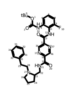 CC(C)(C)OC(=O)Nc1cccc(F)c1NC(=O)c1cnc(C(=O)NCC2CCCN2CCc2ccccc2)cn1